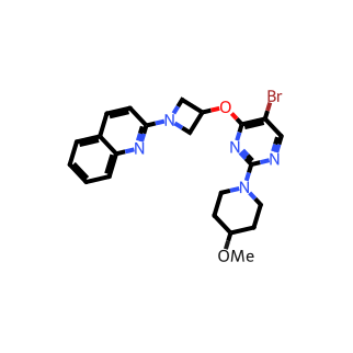 COC1CCN(c2ncc(Br)c(OC3CN(c4ccc5ccccc5n4)C3)n2)CC1